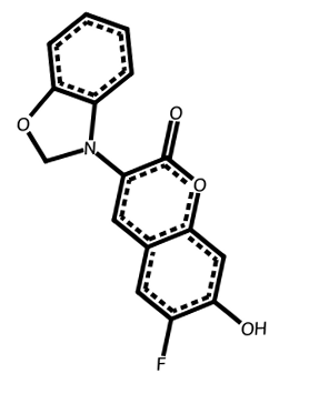 O=c1oc2cc(O)c(F)cc2cc1N1COc2ccccc21